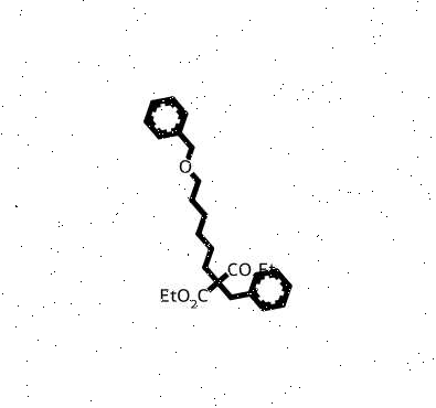 CCOC(=O)C(CCCCCCOCc1ccccc1)(Cc1ccccc1)C(=O)OCC